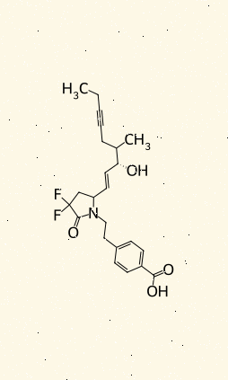 CCC#CCC(C)[C@H](O)/C=C/C1CC(F)(F)C(=O)N1CCc1ccc(C(=O)O)cc1